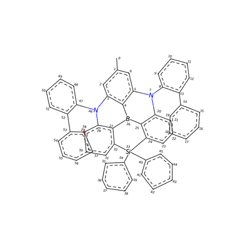 Cc1cc2c3c(c1)N(c1ccccc1-c1ccccc1)c1cccc4c1B3c1c(cccc1[Si]4(c1ccccc1)c1ccccc1)N2c1ccccc1-c1ccccc1